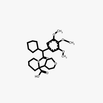 COc1cc(C(C(=O)N2CCCCC2(C(=O)O)C2CCOCC2)C2CCCCC2)cc(OC)c1OC